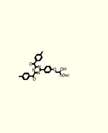 CCCCCCCCCCC(O)COc1ccc(-c2nc(C(=O)c3ccc(C)cc3)nc(C(=O)c3ccc(C)cc3)n2)cc1